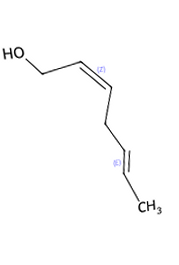 C/C=C/C/C=C\CO